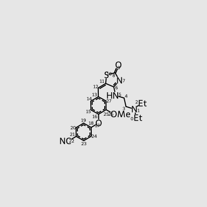 CCN(CC)CCNC1=NC(=O)SC1=Cc1ccc(Oc2ccc(C#N)cc2)c(OC)c1